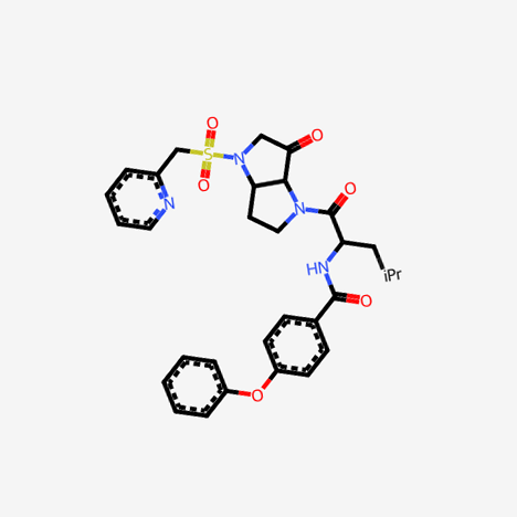 CC(C)CC(NC(=O)c1ccc(Oc2ccccc2)cc1)C(=O)N1CCC2C1C(=O)CN2S(=O)(=O)Cc1ccccn1